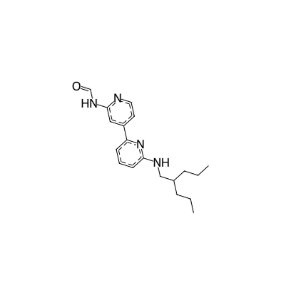 CCCC(CCC)CNc1cccc(-c2ccnc(NC=O)c2)n1